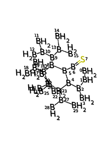 BBB(B)B(B(B=S)B(B(B(B)B)B(B)B)B(B(B)B)B(B)B)B(B(B)B)B(B)B